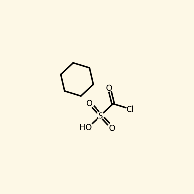 C1CCCCC1.O=C(Cl)S(=O)(=O)O